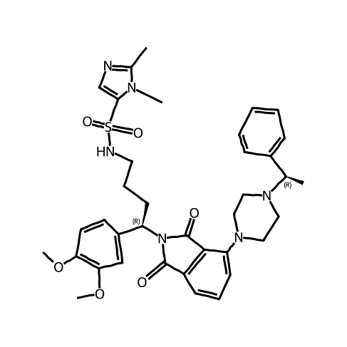 COc1ccc([C@@H](CCCNS(=O)(=O)c2cnc(C)n2C)N2C(=O)c3cccc(N4CCN([C@H](C)c5ccccc5)CC4)c3C2=O)cc1OC